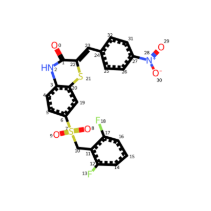 O=C1Nc2ccc(S(=O)(=O)Cc3c(F)cccc3F)cc2SC1=Cc1ccc([N+](=O)[O-])cc1